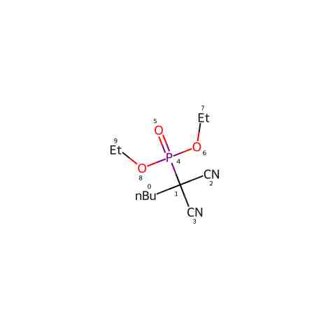 CCCCC(C#N)(C#N)P(=O)(OCC)OCC